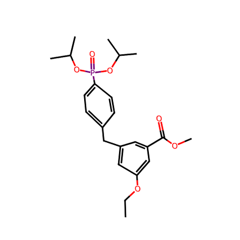 CCOc1cc(Cc2ccc(P(=O)(OC(C)C)OC(C)C)cc2)cc(C(=O)OC)c1